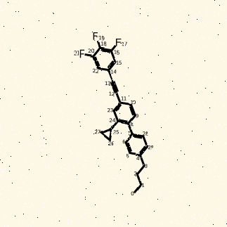 CCCCc1ccc(-c2ccc(C#Cc3cc(F)c(F)c(F)c3)cc2C2CC2)cc1